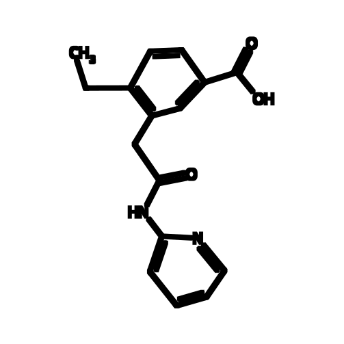 CCc1ccc(C(=O)O)cc1CC(=O)Nc1ccccn1